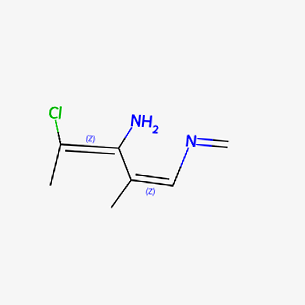 C=N/C=C(C)\C(N)=C(/C)Cl